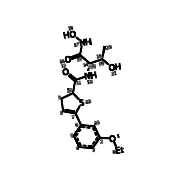 CCOc1cccc(C2=CCC(C(=O)N[C@H](C(=O)NO)[C@@H](C)O)S2)c1